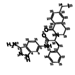 Nc1n[nH]c2cc(NC(=O)[C@H](Cc3ccccc3)N3CCc4cc(CI)ccc4C3=O)ccc12